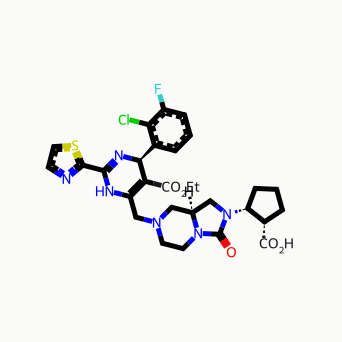 CCOC(=O)C1=C(CN2CCN3C(=O)N([C@@H]4CCC[C@@H]4C(=O)O)C[C@@H]3C2)NC(c2nccs2)=N[C@H]1c1cccc(F)c1Cl